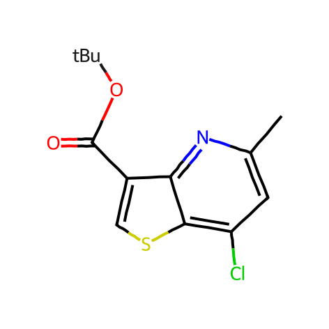 Cc1cc(Cl)c2scc(C(=O)OC(C)(C)C)c2n1